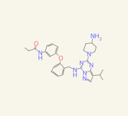 CCC(=O)Nc1cccc(Oc2ccccc2CNc2nc(N3CCC(N)CC3)nc3c(C(C)C)cnn23)c1